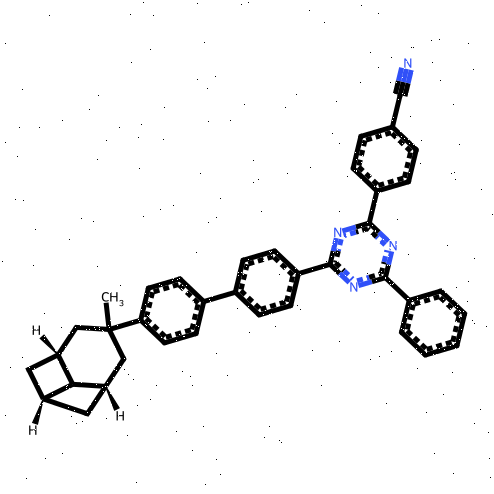 CC1(c2ccc(-c3ccc(-c4nc(-c5ccccc5)nc(-c5ccc(C#N)cc5)n4)cc3)cc2)C[C@H]2C[C@H]3C[C@@H](C1)C32